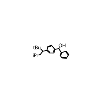 CC(C)CC(c1ccc(C(O)c2ccccc2)cc1)C(C)(C)C